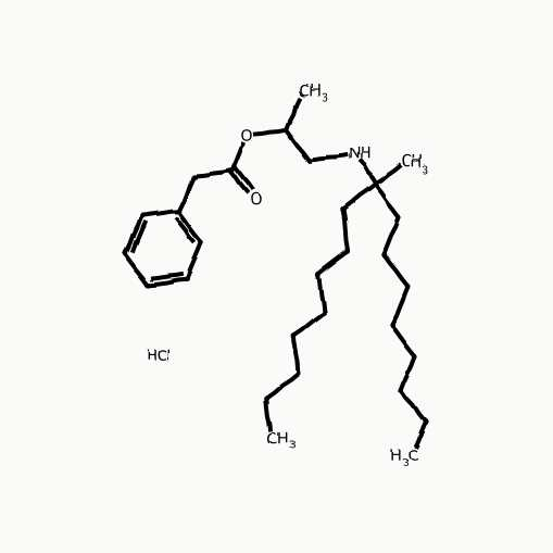 CCCCCCCCC(C)(CCCCCCCC)NCC(C)OC(=O)Cc1ccccc1.Cl